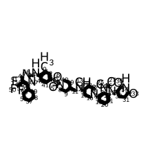 Cc1cc(S(=O)(=O)N2CCC(CN(C)C3CCN(c4cccc5c4n(C)c(=O)n5C4CCC(=O)NC4=O)CC3)CC2)ccc1Nc1ncc(C(F)(F)F)c(C2CCCCC2)n1